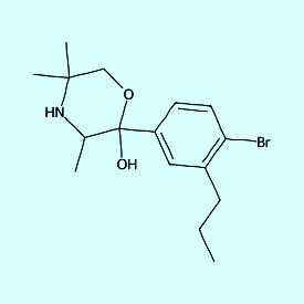 CCCc1cc(C2(O)OCC(C)(C)NC2C)ccc1Br